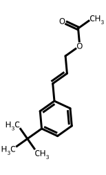 CC(=O)OCC=Cc1cccc(C(C)(C)C)c1